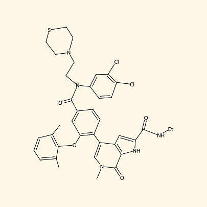 CCNC(=O)c1cc2c(-c3ccc(C(=O)N(CCN4CCSCC4)c4ccc(Cl)c(Cl)c4)cc3Oc3c(C)cccc3C)cn(C)c(=O)c2[nH]1